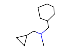 CN(CC1CCCCC1)CC1CC1